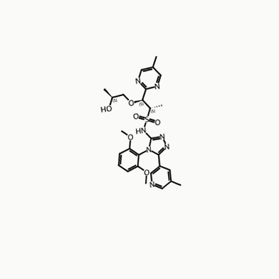 COc1cccc(OC)c1-n1c(NS(=O)(=O)[C@@H](C)[C@@H](OC[C@H](C)O)c2ncc(C)cn2)nnc1-c1cncc(C)c1